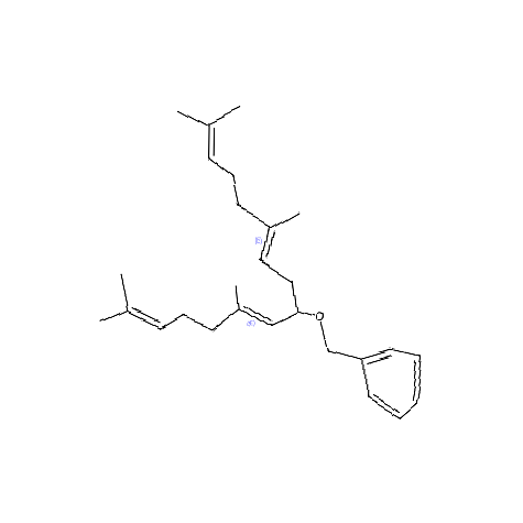 CC(C)=CCC/C(C)=C/CC(/C=C(\C)CCC=C(C)C)OCc1ccccc1